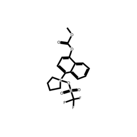 COC(=O)Oc1ccc(S2(OS(=O)(=O)C(F)(F)F)CCCC2)c2ccccc12